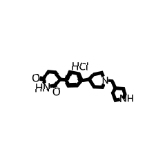 Cl.O=C1CCC(c2ccc(C3CCN(CC4CCNCC4)CC3)cc2)C(=O)N1